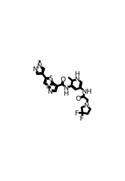 CC1NC=C(NC(=O)CN2CCC(F)(F)C2)C=C1NC(=O)c1cnn2cc(-c3cnn(C)c3)sc12